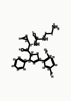 NCCNC(=O)N[C@H](C(=O)N1CC(c2cc(F)ccc2F)=C[C@H]1c1ccccc1)C1CC1